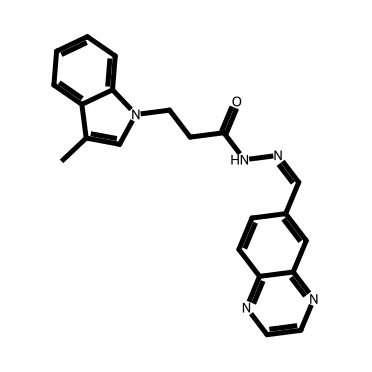 Cc1cn(CCC(=O)N/N=C\c2ccc3nccnc3c2)c2ccccc12